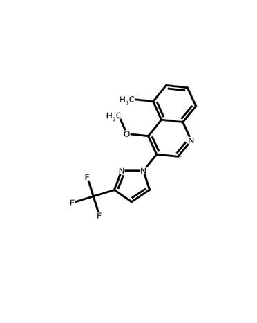 COc1c(-n2ccc(C(F)(F)F)n2)[c]nc2cccc(C)c12